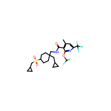 Cc1cc(C(F)(F)F)nc(OC(F)F)c1C(=O)NCC1(CC2CC2)CCC(S(=O)(=O)CC2CC2)CC1